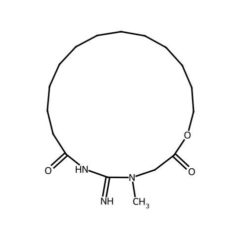 CN1CC(=O)OCCCCCCCCCCCCC(=O)NC1=N